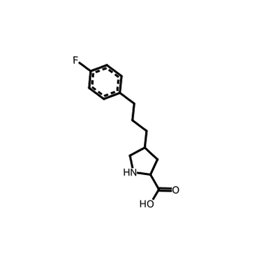 O=C(O)C1CC(CCCc2ccc(F)cc2)CN1